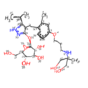 Cc1cc(OCCCNC(C)(CO)CO)ccc1Cc1c(O[C@@H]2O[C@H](CO)[C@@H](O)[C@H](O)[C@H]2O)n[nH]c1C(C)C